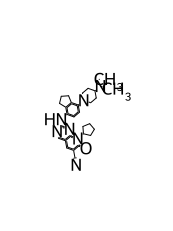 CN(C)C1CCN(c2ccc(Nc3ncc4cc(C#N)c(=O)n(C5CCCC5)c4n3)c3c2CCC3)CC1